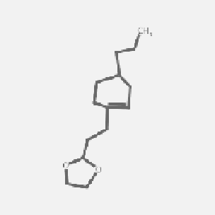 CCCC1CC=C(CCC2OCCO2)CC1